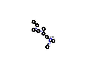 C=N/C(=N\C(=N/Cc1ccccc1)c1ccccc1)c1ccc(-c2ccc3c(c2)c2ccccc2n3-c2ccc3c4ccccc4n(-c4cccc(-c5ccccc5)c4)c3c2)cc1